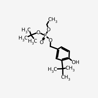 CCOP(=O)(OCc1ccc(O)c(C(C)(C)C)c1)OC(C)(C)C